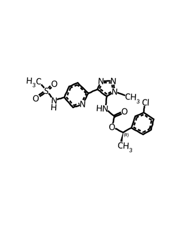 C[C@@H](OC(=O)Nc1c(-c2ccc(NS(C)(=O)=O)cn2)nnn1C)c1cccc(Cl)c1